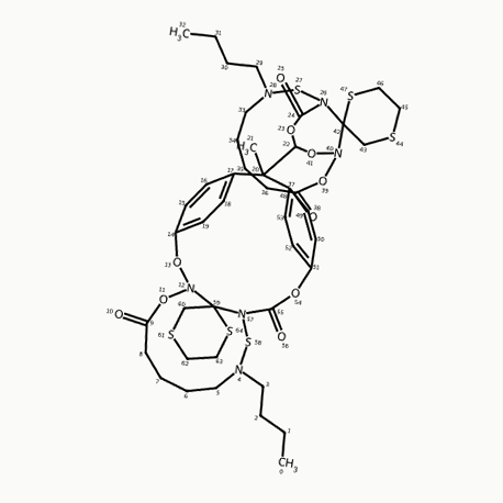 CCCCN1CCCCC(=O)ON2Oc3ccc(cc3)C(C)(C3OC(=O)N4SN(CCCC)CCCCC(=O)ON(O3)C43CSCCS3)c3ccc(cc3)OC(=O)N(S1)C21CSCCS1